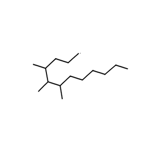 [CH2]CCC(C)C(C)C(C)CCCCCC